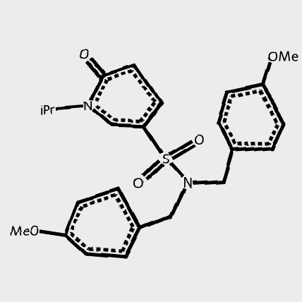 COc1ccc(CN(Cc2ccc(OC)cc2)S(=O)(=O)c2ccc(=O)n(C(C)C)c2)cc1